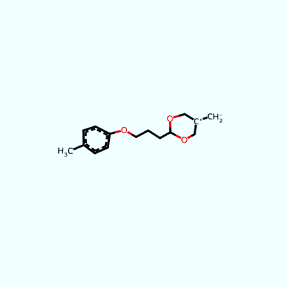 [CH2-][C+]1COC(CCCOc2ccc(C)cc2)OC1